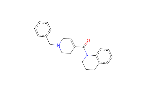 O=C(C1=CCN(Cc2ccccc2)CC1)N1CCCc2ccccc21